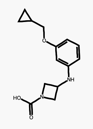 O=C(O)N1CC(Nc2cccc(OCC3CC3)c2)C1